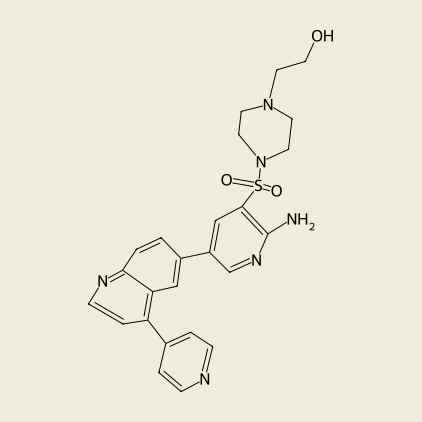 Nc1ncc(-c2ccc3nccc(-c4ccncc4)c3c2)cc1S(=O)(=O)N1CCN(CCO)CC1